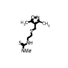 CNC(=S)NCCSCc1c(C)noc1C